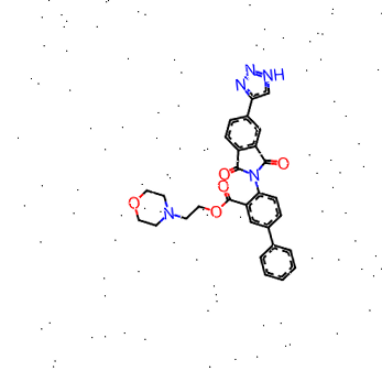 O=C(OCCN1CCOCC1)c1cc(-c2ccccc2)ccc1N1C(=O)c2ccc(-c3c[nH]nn3)cc2C1=O